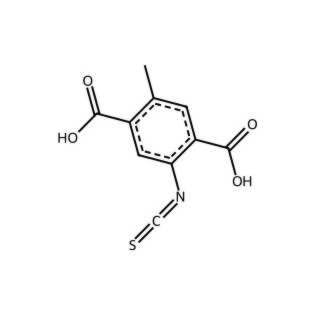 Cc1cc(C(=O)O)c(N=C=S)cc1C(=O)O